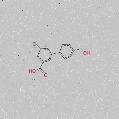 O=C(O)c1cc(Cl)cc(-c2ccc(CO)cc2)c1